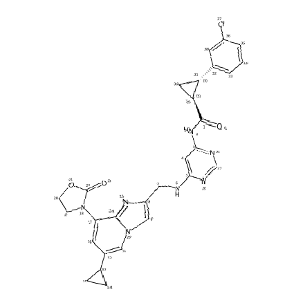 O=C(Nc1cc(NCc2cn3cc(C4CC4)cc(N4CCOC4=O)c3n2)ncn1)[C@H]1C[C@@H]1c1cccc(Cl)c1